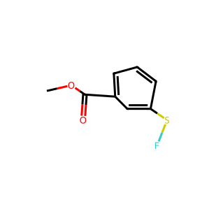 COC(=O)c1cccc(SF)c1